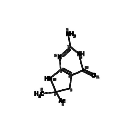 CC(=O)C1(C)Cc2c(nc(N)[nH]c2=O)N1